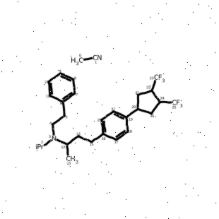 CC#N.CC(C)N(CCc1ccccc1)C(C)CCc1ccc(C2CC(C(F)(F)F)C(C(F)(F)F)C2)cc1